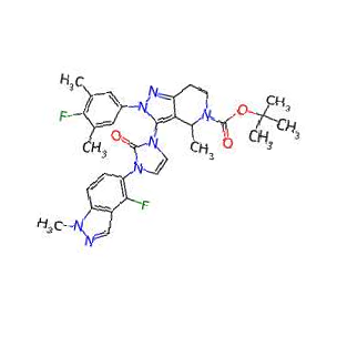 Cc1cc(-n2nc3c(c2-n2ccn(-c4ccc5c(cnn5C)c4F)c2=O)C(C)N(C(=O)OC(C)(C)C)CC3)cc(C)c1F